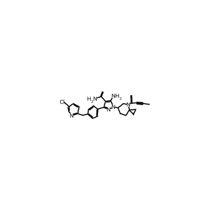 C=C(N)c1c(-c2ccc(Cc3ccc(Cl)cn3)cc2)nn(C2CCC3(CC3)N(C(=C)C#CC)C2)c1N